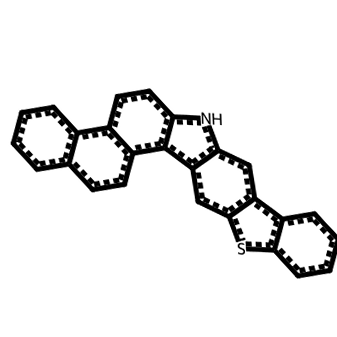 c1ccc2c(c1)ccc1c2ccc2[nH]c3cc4c(cc3c21)sc1ccccc14